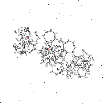 CC1=CC2=C(C=CC=CC2c2cc(S[Si](C)(C)C)c3ccccc3c2)[C]12[SiH](C)[C]1(C(C)=CC3=C1C=CC=CC3c1cc(S[Si](C)(C)C)c3ccccc3c1)[Zr]21([Cl])([Cl])[C]2(C(C)=CC3=C2C=CC=CC3c2cc(S[Si](C)(C)C)c3ccccc3c2)[SiH](C)[C]12C(C)=CC1=C2C=CC=CC1c1cc(S[Si](C)(C)C)c2ccccc2c1